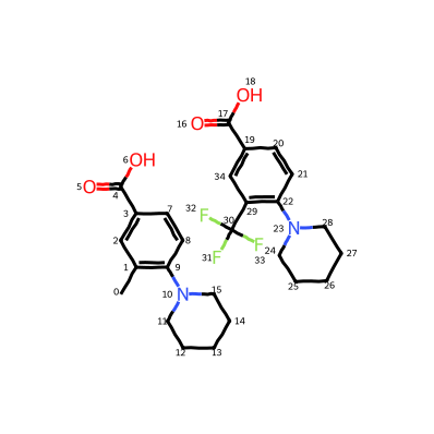 Cc1cc(C(=O)O)ccc1N1CCCCC1.O=C(O)c1ccc(N2CCCCC2)c(C(F)(F)F)c1